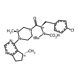 C[C@@H]1CCc2ncnc(N3CCN(C(=O)[C@@H](Cc4ccc(Cl)cc4)N(C(=O)O)C(C)(C)C)C[C@@H]3C)c21